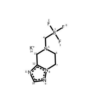 F[B-](F)(F)CN1CCn2ncnc2C1.[K+]